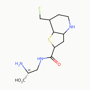 N[C@H](CNC(=O)C1CC2NCCC(CF)C2S1)C(=O)O